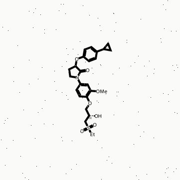 CCS(=O)(=O)C[C@@H](O)COc1ccc(N2CCC(Oc3ccc(C4CC4)cc3)C2=O)cc1OC